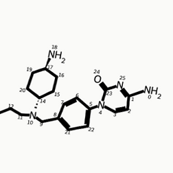 Nc1ccn(-c2ccc(CN(CCO)[C@H]3CC[C@H](N)CC3)cc2)c(=O)n1